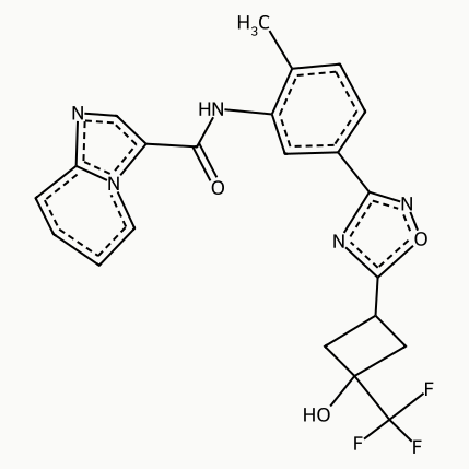 Cc1ccc(-c2noc(C3CC(O)(C(F)(F)F)C3)n2)cc1NC(=O)c1cnc2ccccn12